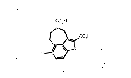 CCOC(=O)N1CCc2c(Cl)ccc3sc(C(=O)O)c(c23)C1